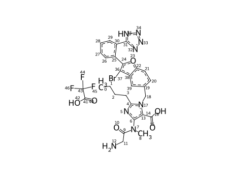 CCCCc1nc(N(C)C(=O)CN)c(C(=O)O)n1Cc1ccc2oc(-c3ccccc3-c3nnn[nH]3)c(Br)c2c1.O=C(O)C(F)(F)F